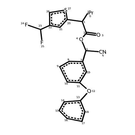 CC(C)C(C(=O)OC(C#N)c1cccc(Oc2ccccc2)c1)c1cc(C(F)F)cs1